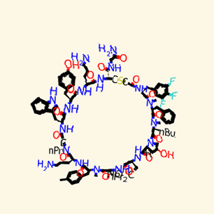 CCCC[C@H]1C(=O)N2C[C@@H](O)C[C@@H]2C(=O)N[C@@H](CC(=O)O)C(=O)N[C@@H](C(C)C)C(=O)N(C)C(Cc2ccc(C)cc2)C(=O)N[C@@H](CCCN)C(=O)N(CCC)CC(=O)N[C@@H](Cc2c[nH]c3ccccc23)C(=O)N[C@@H](Cc2ccc(O)cc2)C(=O)N[C@@H](CCCN)C(=O)N[C@H](C(=O)NCC(N)=O)CSCC(=O)N[C@@H](Cc2cc(F)c(F)c(F)c2)C(=O)N(C)C(Cc2ccccc2)C(=O)N1C